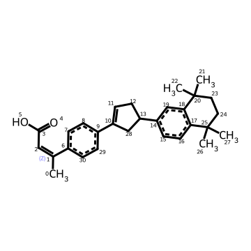 C/C(=C/C(=O)O)c1ccc(C2=CCC(c3ccc4c(c3)C(C)(C)CCC4(C)C)C2)cc1